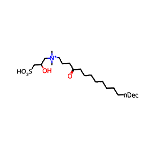 CCCCCCCCCCCCCCCCCCC(=O)CCC[N+](C)(C)CC(O)CS(=O)(=O)O